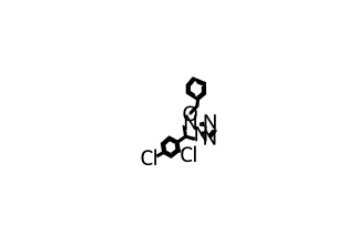 Clc1ccc(C(C=NOCc2ccccc2)Cn2cncn2)c(Cl)c1